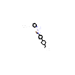 COc1cccc(Nc2nc(-c3ccc(C4CCC(CCOC(C)=O)CC4)cc3)cs2)c1